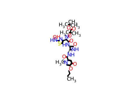 CCCCOc1cn(C)c(C(=O)NC[C@H]2NC(=O)[C@H]2NC(=O)/C(=N\OC(C)(C)C(=O)OC(C)(C)C)c2csc(NO)n2)cc1=O